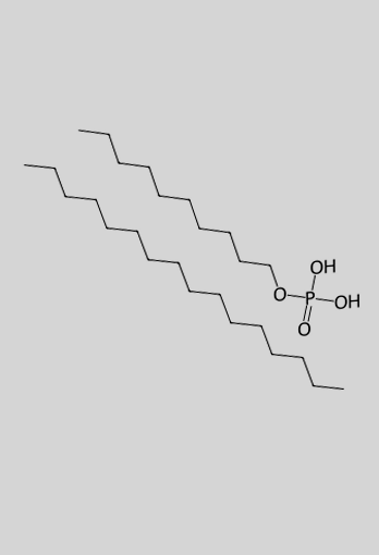 CCCCCCCCCCCCCCCC.CCCCCCCCCCOP(=O)(O)O